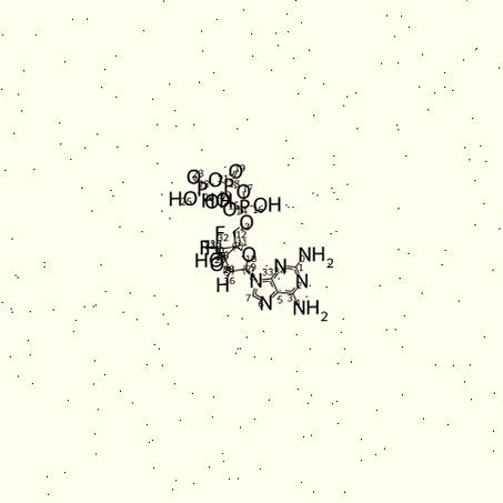 Nc1nc(N)c2ncn([C@@H]3O[C@]4(COP(=O)(O)OP(=O)(O)OP(=O)(O)O)[C@@H](O)[C@H]3OC4(F)F)c2n1